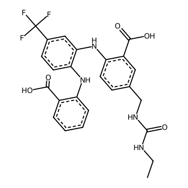 CCNC(=O)NCc1ccc(Nc2cc(C(F)(F)F)ccc2Nc2ccccc2C(=O)O)c(C(=O)O)c1